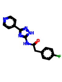 O=C(Cc1ccc(F)cc1)Nc1nc(-c2ccncc2)n[nH]1